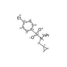 CCCN(CC1CC1)S(=O)(=O)c1ccc(CC)cc1